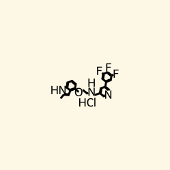 Cc1cc2c(OCCNCc3cncc(-c4cc(F)c(F)c(F)c4)c3)cccc2[nH]1.Cl